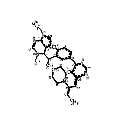 C=c1c(-c2ccc(Cl)c(C(O)C3c4ncn(C)c4N=CN3C)c2)ncn/c1=C/C(=C\C)N1CCOCC1